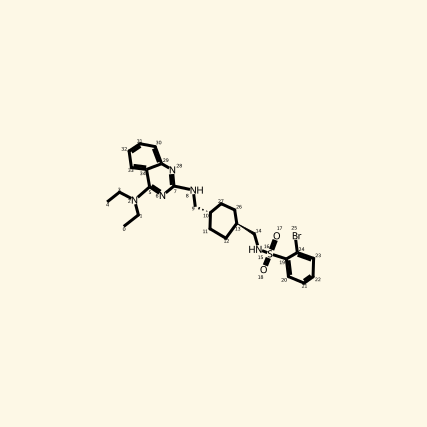 CCN(CC)c1nc(NC[C@H]2CC[C@H](CNS(=O)(=O)c3ccccc3Br)CC2)nc2ccccc12